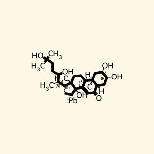 C[C@H](C(O)CCC(C)(C)O)[C@H]1CC[C@@]2(O)C3=CC(=O)[C@@H]4C[C@@H](O)[C@@H](O)C[C@]4(C)[C@@H]3CC[C@]12C.[Pb]